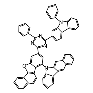 c1ccc(-c2nc(-c3cc(-n4c5ccccc5c5cc6ccccc6cc54)c4c(c3)oc3c5ccccc5ccc34)nc(-c3ccc4c5ccccc5n(-c5ccccc5)c4c3)n2)cc1